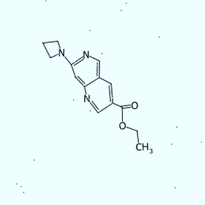 CCOC(=O)c1cnc2cc(N3CCC3)ncc2c1